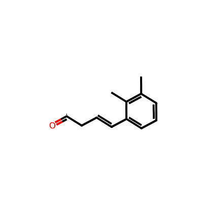 Cc1cccc(C=CC[C]=O)c1C